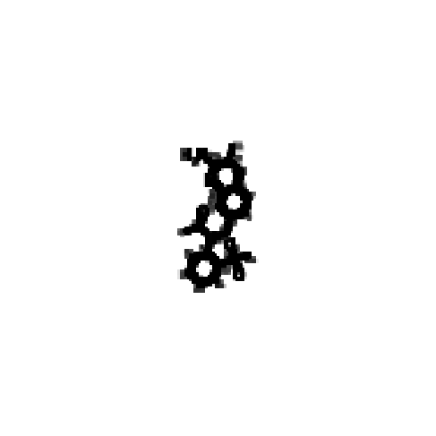 CC(=O)N(Cc1ccc2cc(C)c(N)nc2c1)c1ccccc1S(C)(=O)=O